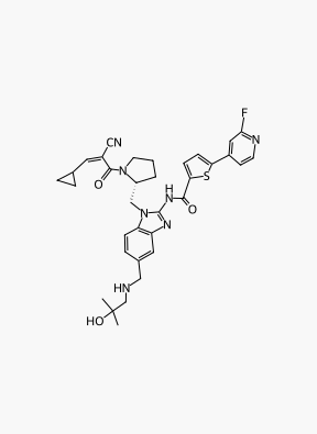 CC(C)(O)CNCc1ccc2c(c1)nc(NC(=O)c1ccc(-c3ccnc(F)c3)s1)n2C[C@H]1CCCN1C(=O)/C(C#N)=C\C1CC1